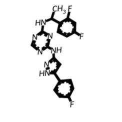 CC(Nc1ncnc(Nc2cc(-c3ccc(F)cc3)[nH]n2)n1)c1ccc(F)cc1F